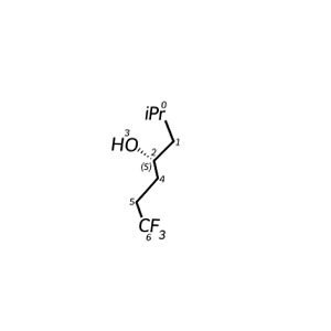 CC(C)C[C@@H](O)CCC(F)(F)F